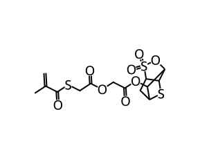 C=C(C)C(=O)SCC(=O)OCC(=O)OC1C2CC3C(S2)C1OS3(=O)=O